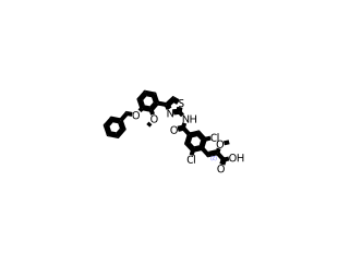 CO/C(=C\c1c(Cl)cc(C(=O)Nc2nc(-c3cccc(OCc4ccccc4)c3OC)cs2)cc1Cl)C(=O)O